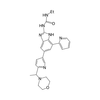 CCNC(=O)Nc1nc2cc(-c3ccc(C(C)N4CCOCC4)nc3)cc(-c3ccccn3)c2[nH]1